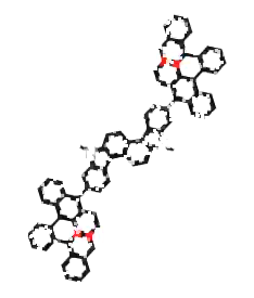 Cn1c2cc(-c3c4ccccc4c(-c4ccccc4-c4cccc5ccccc45)c4ccccc34)ccc2c2c3ccc4c(c3ccc21)c1ccc(-c2c3ccccc3c(-c3ccccc3-c3cccc5ccccc35)c3ccccc23)cc1n4C